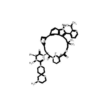 CCn1c(-c2cccnc2[C@H](C)OC)c2c3cc(ccc31)-c1csc(n1)C[C@H](NC(=O)[C@H](C(C)C)N(C)C(=O)N1CCC3(CC1)CN(C)CCO3)C(=O)N1CCC[C@H](N1)C(=O)OCC(C)(C)C2